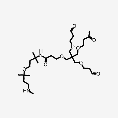 CNCCC(C)(C)OCCC(C)(C)NC(=O)CCOCC(COCCC=O)(COCCC=O)COCCC(C)=O